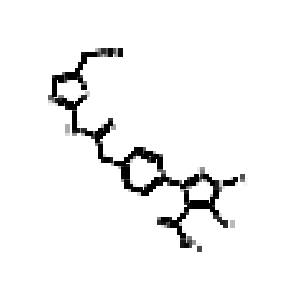 CC(C)n1nc(-c2ccc(CC(=O)Nc3ncc(CC(C)(C)C)s3)cc2)c(C(N)=O)c1N